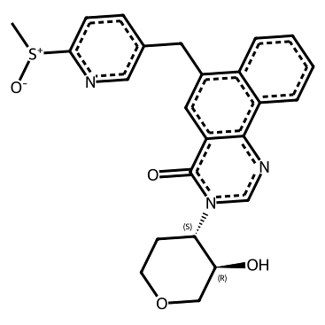 C[S+]([O-])c1ccc(Cc2cc3c(=O)n([C@H]4CCOC[C@@H]4O)cnc3c3ccccc23)cn1